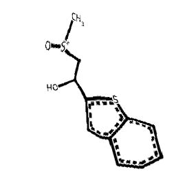 C[S+]([O-])CC(O)c1cc2ccccc2s1